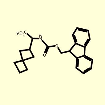 O=C(NC(C(=O)O)C1CC2(CCC2)C1)OCC1c2ccccc2-c2ccccc21